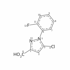 O=C(O)c1cc(Cl)n(-c2ccccc2F)n1